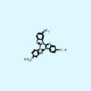 O=S(=O)(O)c1ccc2c(c1)nc1n2c2nc3ccc(S(=O)(=O)O)cc3n2c2nc3cc(S(=O)(=O)O)ccc3n12